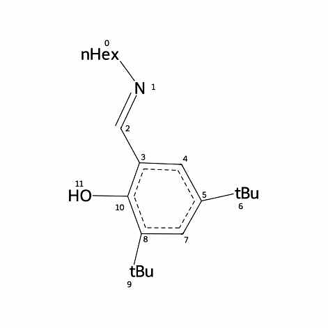 CCCCCCN=Cc1cc(C(C)(C)C)cc(C(C)(C)C)c1O